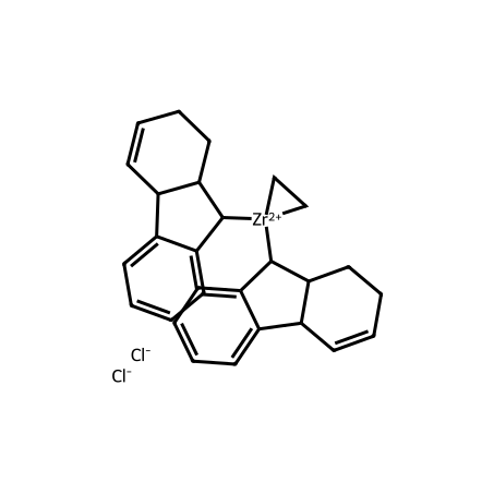 C1=CC2c3ccccc3[CH]([Zr+2]3([CH]4c5ccccc5C5C=CCCC54)[CH2][CH2]3)C2CC1.[Cl-].[Cl-]